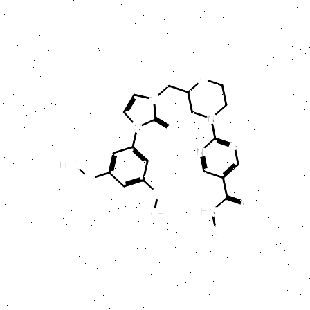 COc1cc(OC)cc(-n2ccn(CC3CN(c4ncc(C(=O)NO)cn4)CCO3)c2=O)c1